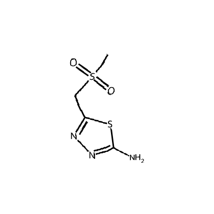 CS(=O)(=O)Cc1nnc(N)s1